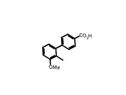 COc1cccc(-c2ccc(C(=O)O)cc2)c1C